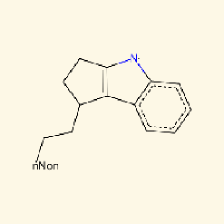 CCCCCCCCCCCC1CCC2=C1c1ccccc1[N]2